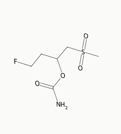 CS(=O)(=O)CC(CCF)OC(N)=O